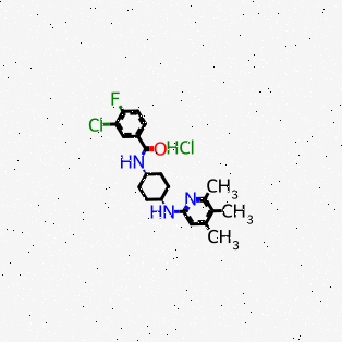 Cc1cc(N[C@H]2CC[C@@H](NC(=O)c3ccc(F)c(Cl)c3)CC2)nc(C)c1C.Cl